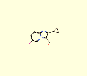 OCc1c(C2CC2)nc2ccc(I)cn12